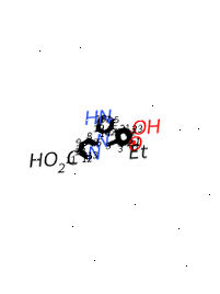 CCOc1cc(CN(c2ccc(C(=O)O)cn2)C2CCNCC2)ccc1O